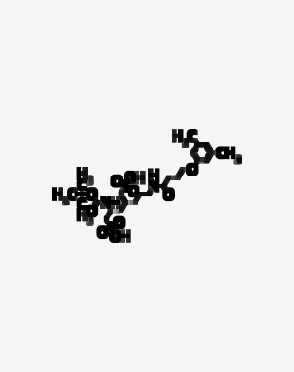 Cc1cc(C)cc(OCCCC(=O)NCCC[C@H](C[C@H](CS(=O)(=O)O)NC(=O)OC(C)(C)C)CS(=O)(=O)O)c1